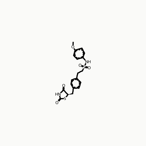 COc1ccc(NS(=O)(=O)CCc2ccc(C[C@H]3SC(=O)NC3=O)cc2)cc1